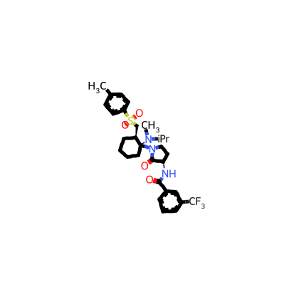 Cc1ccc(S(=O)(=O)C[C@@H]2CCCC[C@@]2(N2CC[C@H](NC(=O)c3cccc(C(F)(F)F)c3)C2=O)N(C)C(C)C)cc1